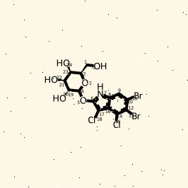 OC[C@H]1OC(Oc2[nH]c3cc(Br)c(Br)c(Cl)c3c2Cl)[C@H](O)[C@@H](O)[C@H]1O